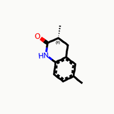 Cc1ccc2c(c1)C[C@@H](C)C(=O)N2